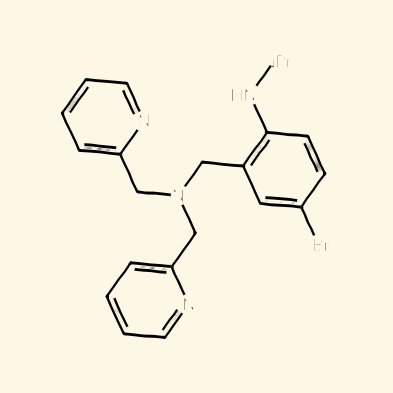 CC(C)Nc1ccc(Br)cc1CN(Cc1ccccn1)Cc1ccccn1